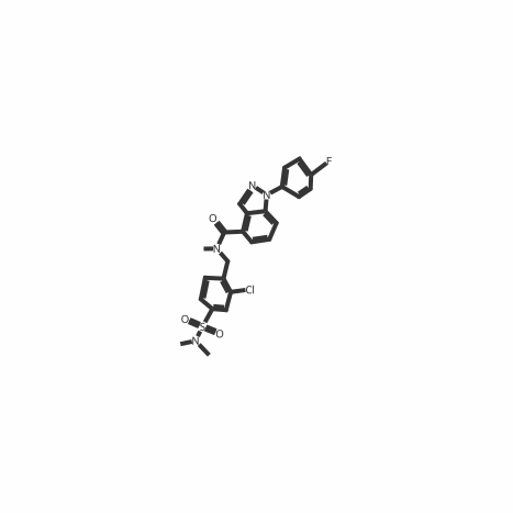 CN(Cc1ccc(S(=O)(=O)N(C)C)cc1Cl)C(=O)c1cccc2c1cnn2-c1ccc(F)cc1